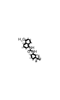 Cc1cccc2c(NC(=O)Nc3cccc(C(F)(F)F)c3)cccc12